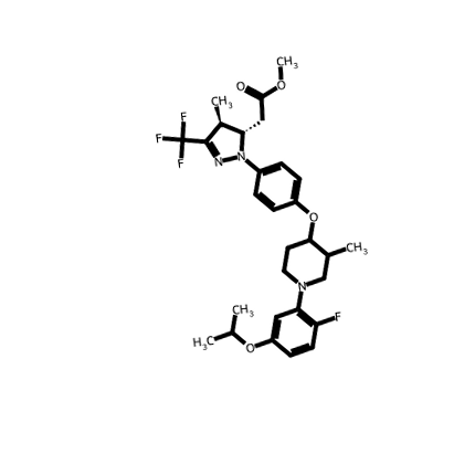 COC(=O)C[C@H]1[C@H](C)C(C(F)(F)F)=NN1c1ccc(OC2CCN(c3cc(OC(C)C)ccc3F)CC2C)cc1